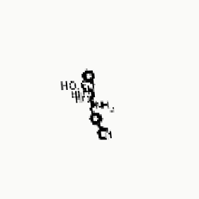 CC(C)(C)N(C(=O)O)[C@@H](Cc1ccccc1)C[C@H](O)[C@@H](N)Cc1ccc(-c2cccnc2)cc1